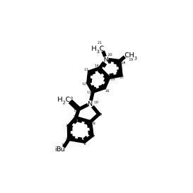 C=C1c2cc(C(C)CC)ccc2CN1c1ccc2c(c1)cc(C)n2C